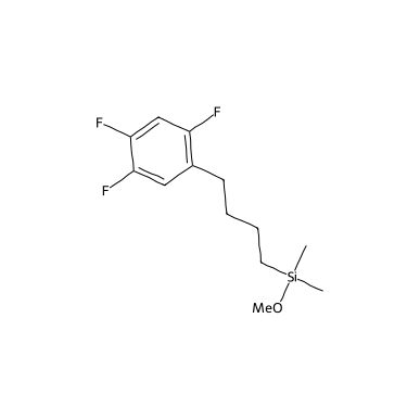 CO[Si](C)(C)CCCCc1cc(F)c(F)cc1F